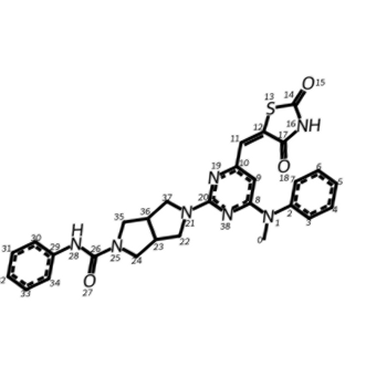 CN(c1ccccc1)c1cc(C=C2SC(=O)NC2=O)nc(N2CC3CN(C(=O)Nc4ccccc4)CC3C2)n1